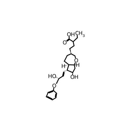 CCC(CC[C@@H]1CC[C@@H]2[C@@H](C=C[C@@H](O)COc3ccccc3)[C@H](O)C[C@@H]2OC1)C(=O)O